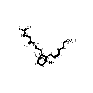 CCC(=O)NCC(=O)NCC[C@H]1[C@@H](C/C=C\CCCC(=O)O)[C@H]2CC[C@@H]1O2